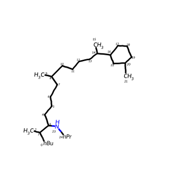 CCCCC(C)C(CCCCC(C)CCCCC(C)C1CCCC(C)C1)NCCC